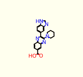 O=C(O)c1ccc2nc(-c3ccc4[nH]cnc4c3)c(N3CCCCC3)nc2c1